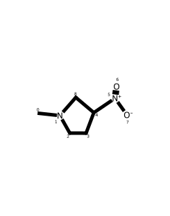 CN1CCC([N+](=O)[O-])C1